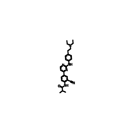 CCN(CC)CCc1ccc(Nc2nccc(-c3ccc(NC(=O)C(C)C)c(C#N)c3)n2)cc1